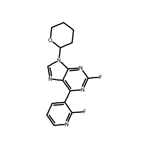 Fc1nc(-c2cccnc2F)c2ncn(C3CCCCO3)c2n1